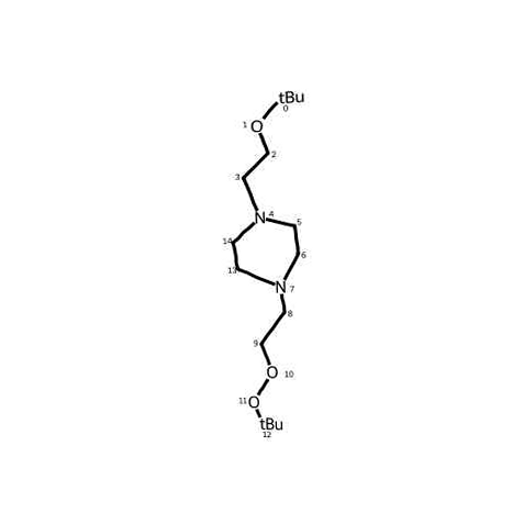 CC(C)(C)OCCN1CCN(CCOOC(C)(C)C)CC1